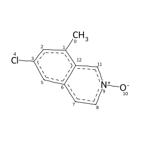 Cc1cc(Cl)cc2cc[n+]([O-])cc12